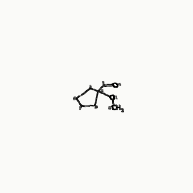 COC1(C=O)CCCC1